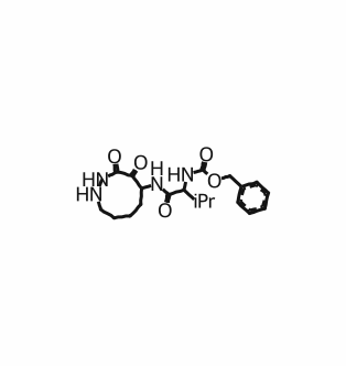 CC(C)C(NC(=O)OCc1ccccc1)C(=O)NC1CCCCNNC(=O)C1=O